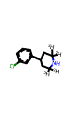 [2H]C1([2H])CC(c2cccc(Cl)c2)CC([2H])([2H])N1